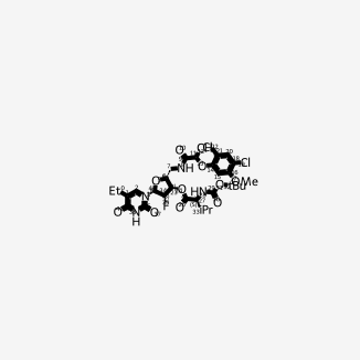 CCc1cn([C@@H]2O[C@H](CNC(=O)C(C)Oc3cc(OC)c(Cl)cc3Cl)[C@@H](OC(=O)[C@@H](NC(=O)OC(C)(C)C)C(C)C)[C@@H]2F)c(=O)[nH]c1=O